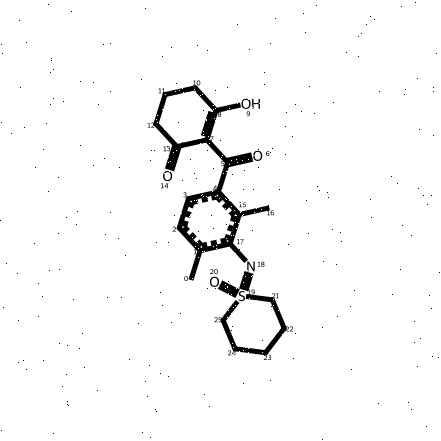 Cc1ccc(C(=O)C2=C(O)CCCC2=O)c(C)c1N=S1(=O)CCCCC1